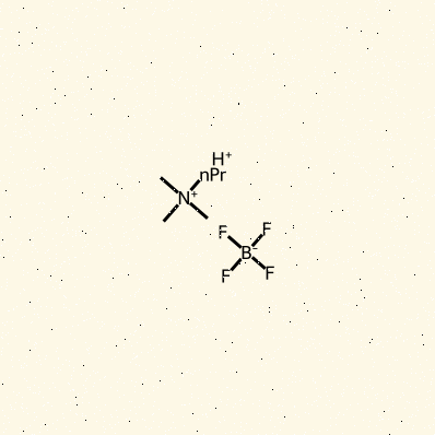 CCC[N+](C)(C)C.F[B-](F)(F)F.[H+]